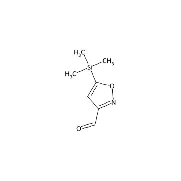 C[Si](C)(C)c1cc(C=O)no1